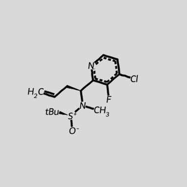 C=CC[C@@H](c1nccc(Cl)c1F)N(C)[S@@+]([O-])C(C)(C)C